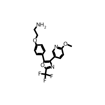 COc1ccc(-c2nc(C(F)(F)F)oc2-c2ccc(OCCN)cc2)cn1